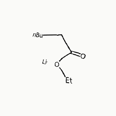 CCCCCC(=O)OCC.[Li]